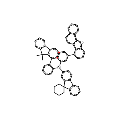 CC1(C)c2ccccc2-c2cccc(-c3ccccc3N(c3cccc(-c4cccc5oc6c7ccccc7ccc6c45)c3)c3ccc4c(c3)C3(CCCCC3)c3ccccc3-4)c21